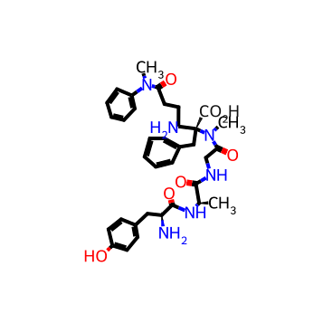 C[C@@H](NC(=O)[C@@H](N)Cc1ccc(O)cc1)C(=O)NCC(=O)N(C)[C@@](Cc1ccccc1)(C(=O)O)C(N)CCC(=O)N(C)c1ccccc1